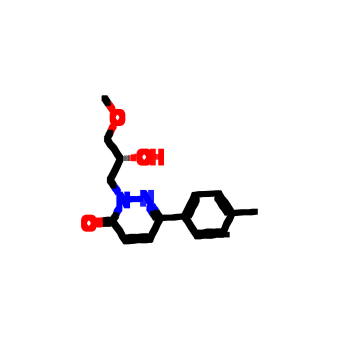 COC[C@H](O)Cn1nc(-c2c[c]c(C)cc2)ccc1=O